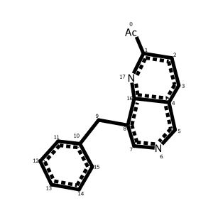 CC(=O)c1ccc2cncc(Cc3ccccc3)c2n1